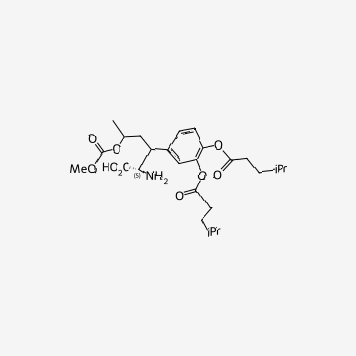 COC(=O)OC(C)CC(c1ccc(OC(=O)CCC(C)C)c(OC(=O)CCC(C)C)c1)[C@H](N)C(=O)O